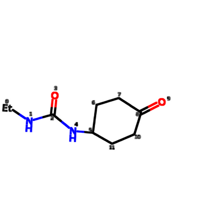 CCNC(=O)NC1CCC(=O)CC1